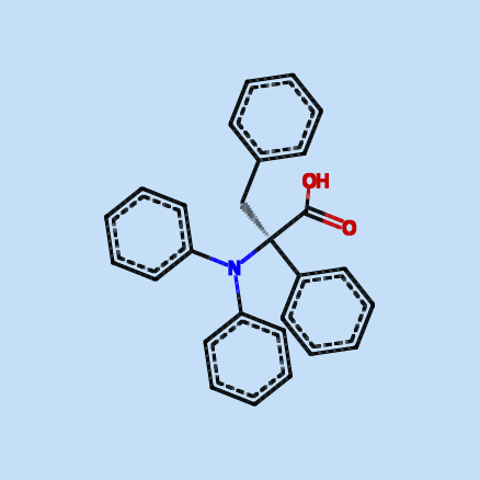 O=C(O)[C@@](Cc1ccccc1)(c1ccccc1)N(c1ccccc1)c1ccccc1